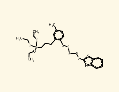 CCO[Si](CCCc1cc(C)ccc1SSSSSc1nc2ccccc2s1)(OCC)OCC